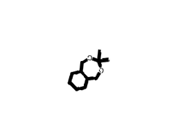 CC1(C)OCC2CCCCC2CO1